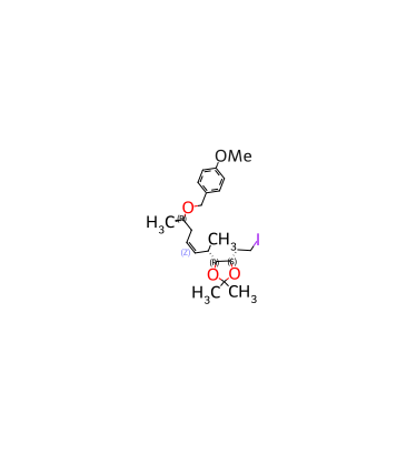 COc1ccc(CO[C@H](C)C/C=C\C(C)[C@H]2OC(C)(C)O[C@H]2CCI)cc1